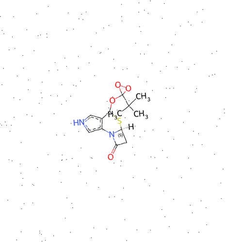 CC(C)(C)C1(OC2S[C@H]3CC(=O)N3c3c[nH]cc32)OO1